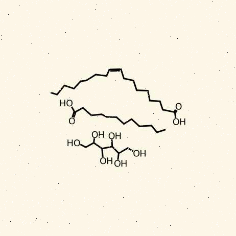 CCCCCCCC/C=C\CCCCCCCC(=O)O.CCCCCCCCCCCC(=O)O.OCC(O)C(O)C(O)C(O)CO